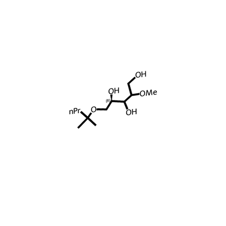 CCCC(C)(C)OC[C@@H](O)C(O)C(CO)OC